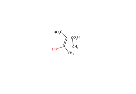 CC(=O)O.CC(O)=CC(=O)O